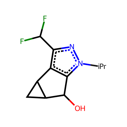 CC(C)n1nc(C(F)F)c2c1C(O)C1CC21